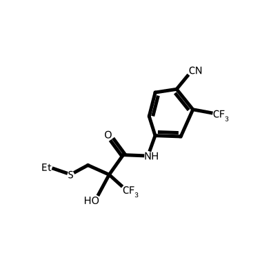 CCSCC(O)(C(=O)Nc1ccc(C#N)c(C(F)(F)F)c1)C(F)(F)F